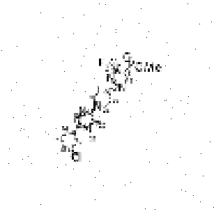 COC(=O)c1cnc(N2CCN(c3nnc(-c4cccc(Cl)c4)c(C)c3C)CC2)nc1C(F)(F)F